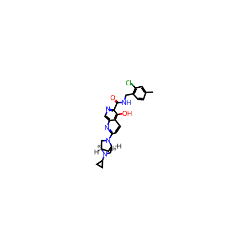 Cc1ccc(CNC(=O)c2ncc3nc(N4C[C@H]5C[C@@H]4CN5C4CC4)ccc3c2O)c(Cl)c1